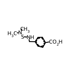 CN(C)SNCc1ccc(C(=O)O)cc1